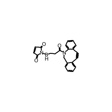 O=C1C=CC(=O)N1BCCC(=O)N1Cc2ccccc2C#Cc2ccccc21